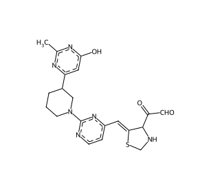 Cc1nc(O)cc(C2CCCN(c3nccc(/C=C4\SCNC4C(=O)C=O)n3)C2)n1